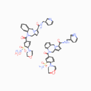 NS(=O)(=O)c1cc(C(=O)N2Cc3ccc(C(=O)NCc4cccnc4)n3Cc3ccccc32)ccc1N1CCOCC1.NS(=O)(=O)c1cc(C(=O)N2Cc3ccc(C(=O)NCc4cccnc4)n3Cc3ccccc32)ccc1N1CCOCC1.O